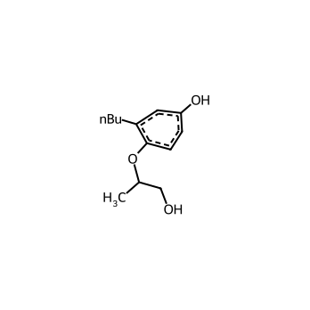 CCCCc1cc(O)ccc1OC(C)CO